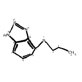 CCC[N]c1cccc2[nH]nnc12